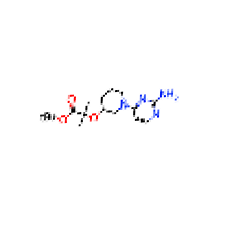 CC(C)(C)OC(=O)C(C)(C)OC1CCCN(c2ccnc(N)n2)C1